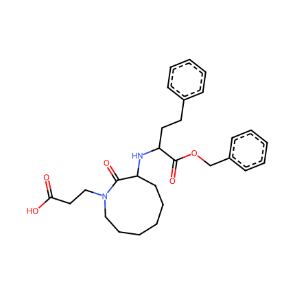 O=C(O)CCN1CCCCCCC(NC(CCc2ccccc2)C(=O)OCc2ccccc2)C1=O